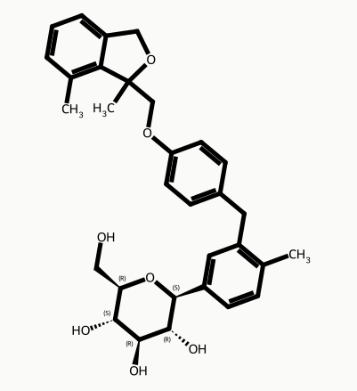 Cc1ccc([C@@H]2O[C@H](CO)[C@@H](O)[C@H](O)[C@H]2O)cc1Cc1ccc(OCC2(C)OCc3cccc(C)c32)cc1